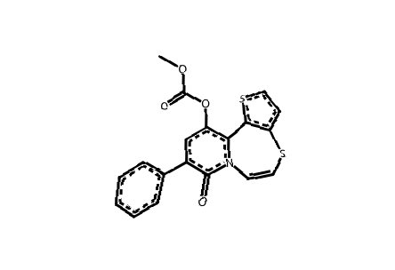 COC(=O)Oc1cc(-c2ccccc2)c(=O)n2c1-c1sccc1SC=C2